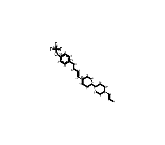 CC=C[C@H]1CC[C@H]([C@H]2CC[C@H](C=CCCc3ccc(OC(F)(F)F)cc3)CC2)CC1